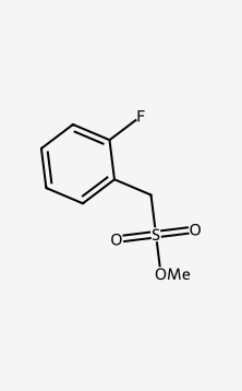 COS(=O)(=O)Cc1ccccc1F